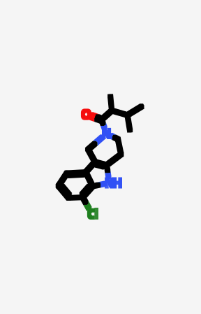 CC(C)C(C)C(=O)N1CCc2[nH]c3c(Cl)cccc3c2C1